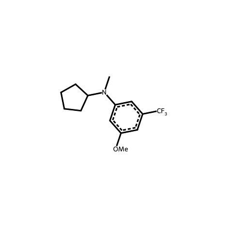 COc1cc(N(C)C2CCCC2)cc(C(F)(F)F)c1